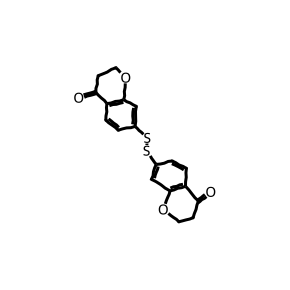 O=C1CCOc2cc(SSc3ccc4c(c3)OCCC4=O)ccc21